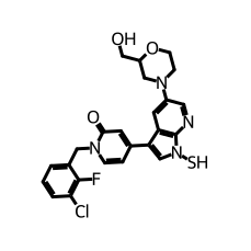 O=c1cc(-c2cn(S)c3ncc(N4CCOC(CO)C4)cc23)ccn1Cc1cccc(Cl)c1F